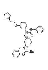 CC(C)(C)C(=O)N(Cc1ccccc1)[C@@H]1CCC[C@H](CN(C(=O)Nc2ccccc2)c2cccc(OCCN3CCCC3)c2)C1